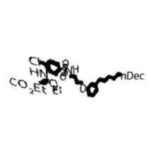 CCCCCCCCCCCCCCCc1cccc(OCCCCNS(=O)(=O)c2ccc(Cl)c(NC(=CC(=O)OCC)OCC)c2)c1